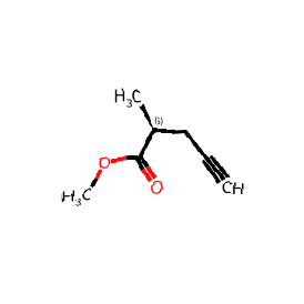 C#CC[C@H](C)C(=O)OC